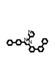 c1ccc(-c2ccc(-c3cc(-c4cccc(-c5cccc(-c6ccccc6)c5)c4)nc(-c4cccnc4)n3)cc2)cc1